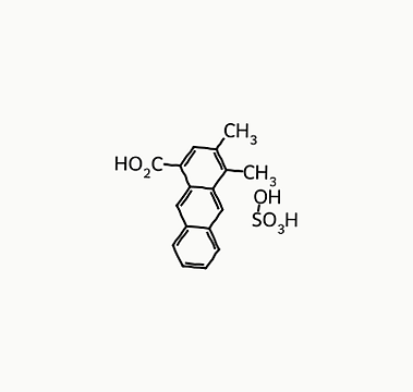 Cc1cc(C(=O)O)c2cc3ccccc3cc2c1C.O=S(=O)(O)O